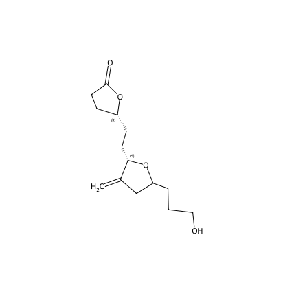 C=C1CC(CCCO)O[C@H]1CC[C@@H]1CCC(=O)O1